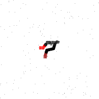 CCCCCBr.O=C(O)O